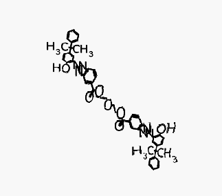 CC(C)(c1ccccc1)c1ccc(O)c(-n2n3c4ccc(C(=O)OCCOCCOC(=O)c5ccc6c(c5)n5n(-c7cc(C(C)(C)c8ccccc8)ccc7O)n65)cc4n23)c1